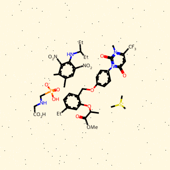 CCC(CC)Nc1c([N+](=O)[O-])cc(C)c(C)c1[N+](=O)[O-].CCc1ccc(COc2ccc(-n3c(=O)cc(C(F)(F)F)n(C)c3=O)cc2)c(OC(C)C(=O)OC)c1.C[S+](C)C.O=C(O)CNCP(=O)([O-])O